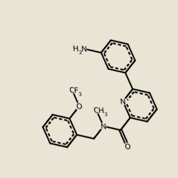 CN(Cc1ccccc1OC(F)(F)F)C(=O)c1cccc(-c2cccc(N)c2)n1